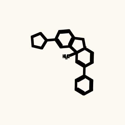 CC12C=C(c3ccccc3)C=CN1Cc1ccc(C3CCCC3)cc12